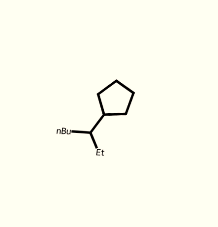 [CH2]CCCC(CC)C1CCCC1